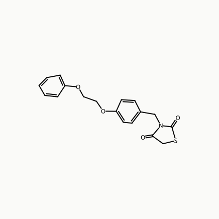 O=C1CSC(=O)N1Cc1ccc(OCCOc2ccccc2)cc1